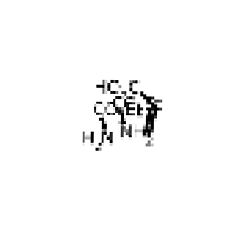 C=CC(=O)O.CCOC(N)=O.CCOC(N)=O